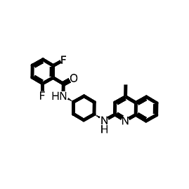 Cc1cc(N[C@H]2CC[C@@H](NC(=O)c3c(F)cccc3F)CC2)nc2ccccc12